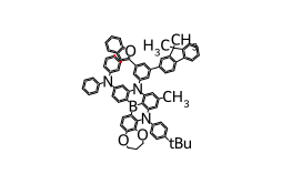 Cc1cc2c3c(c1)N(c1ccc(C(C)(C)C)cc1)c1c(ccc4c1OCCCO4)B3c1ccc(N(c3ccccc3)c3ccccc3)cc1N2c1cc(-c2ccc3c(c2)C(C)(C)c2ccccc2-3)cc(-c2cc3ccccc3o2)c1